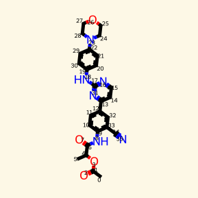 CC(=O)OC(C)C(=O)Nc1ccc(-c2ccnc(Nc3ccc(N4CCOCC4)cc3)n2)cc1C#N